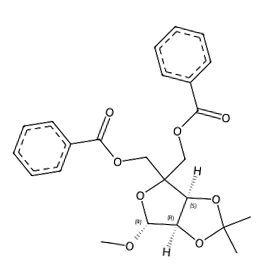 CO[C@@H]1OC(COC(=O)c2ccccc2)(COC(=O)c2ccccc2)[C@H]2OC(C)(C)O[C@@H]12